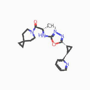 C[C@H](Nc1nnc([C@@H]2C[C@H]2c2ccccn2)o1)C(=O)N1CCC2(CC1)CC2